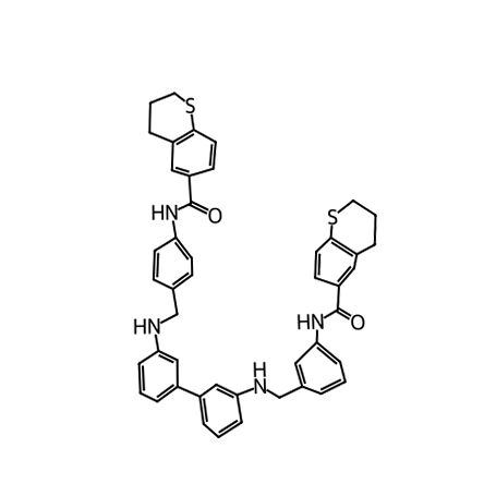 O=C(Nc1ccc(CNc2cccc(-c3cccc(NCc4cccc(NC(=O)c5ccc6c(c5)CCCS6)c4)c3)c2)cc1)c1ccc2c(c1)CCCS2